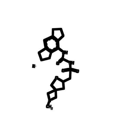 CN1CC2(COC(CS(=O)(=O)NC(=O)Nc3c4c(cc5c3CCC5)CCC4)C2)C1.[K]